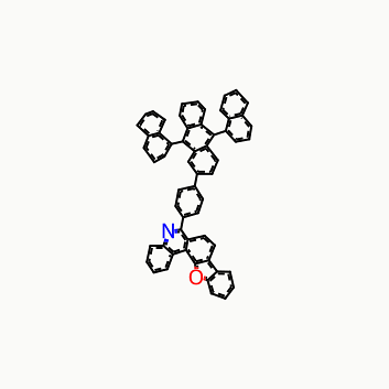 c1ccc2c(-c3c4ccccc4c(-c4cccc5ccccc45)c4cc(-c5ccc(-c6nc7ccccc7c7c6ccc6c8ccccc8oc67)cc5)ccc34)cccc2c1